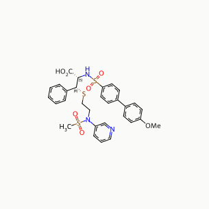 COc1ccc(-c2ccc(S(=O)(=O)N[C@@H](C(=O)O)[C@H](SCCN(c3cccnc3)S(C)(=O)=O)c3ccccc3)cc2)cc1